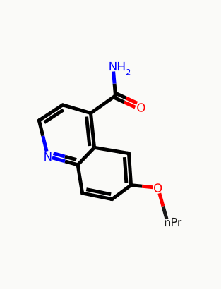 CCCOc1ccc2nccc(C(N)=O)c2c1